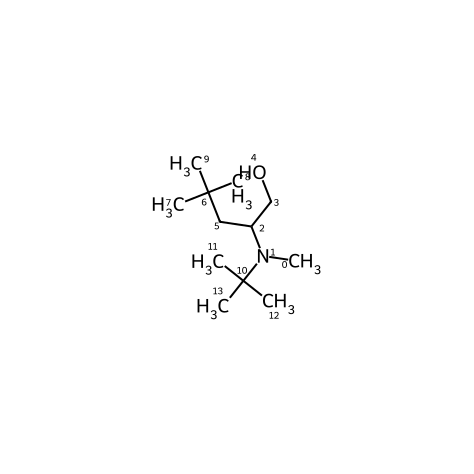 CN(C(CO)CC(C)(C)C)C(C)(C)C